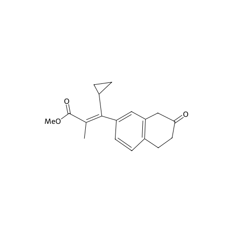 COC(=O)/C(C)=C(/c1ccc2c(c1)CC(=O)CC2)C1CC1